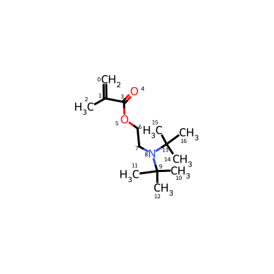 C=C(C)C(=O)OCCN(C(C)(C)C)C(C)(C)C